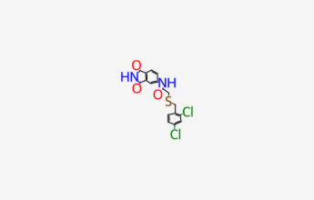 O=C(CSCc1ccc(Cl)cc1Cl)Nc1ccc2c(c1)C(=O)NC2=O